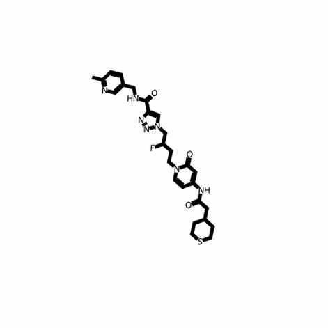 Cc1ccc(CNC(=O)c2cn(CC(F)CCn3ccc(NC(=O)CC4CCSCC4)cc3=O)nn2)cn1